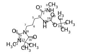 CNC(=O)C(CCCN1C(=O)N(C)C(C)(C)C1=O)NC(=O)OC(C)(C)C